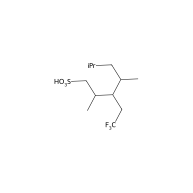 CC(C)CC(C)C(CC(F)(F)F)C(C)CS(=O)(=O)O